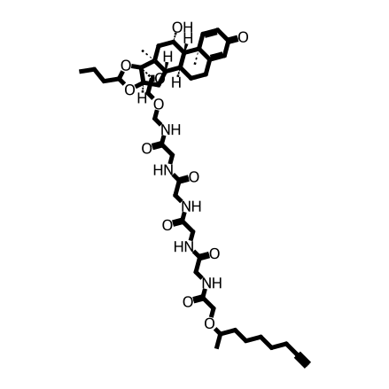 C#CCCCCCC(C)OCC(=O)NCC(=O)NCC(=O)NCC(=O)NCC(=O)NCOCC(=O)[C@@]12OC(CCC)O[C@@H]1C[C@H]1[C@@H]3CCC4=CC(=O)C=C[C@]4(C)[C@H]3[C@@H](O)C[C@@]12C